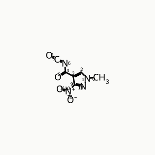 Cn1cc(C(=O)N=C=O)c([N+](=O)[O-])n1